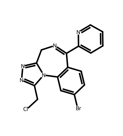 ClCc1nnc2n1-c1cc(Br)ccc1C(c1ccccn1)=NC2